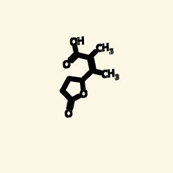 CC(C(=O)O)=C(C)C1CCC(=O)O1